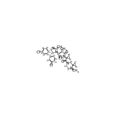 CCN(C(=O)/C(C)=C(\C(C)C)N1C(C)=N[C@@H](c2ccc(Cl)cc2)[C@H]1c1ccc(Cl)cc1)C1(C(=O)N2CCN(C)C3(CC3)C2)CC1